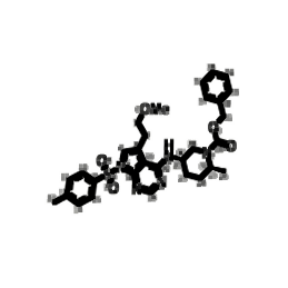 COCCc1cn(S(=O)(=O)c2ccc(C)cc2)c2ncnc(N[C@@H]3CC[C@H](C)N(C(=O)OCc4ccccc4)C3)c12